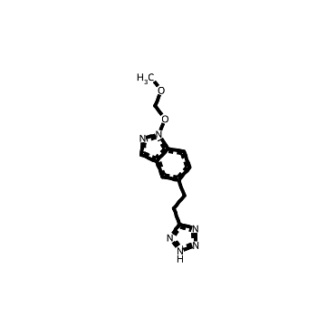 COCOn1ncc2cc(CCc3nn[nH]n3)ccc21